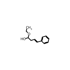 CCOC(O)CC=Cc1ccccc1